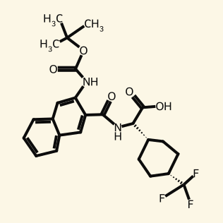 CC(C)(C)OC(=O)Nc1cc2ccccc2cc1C(=O)NC(C(=O)O)[C@H]1CC[C@@H](C(F)(F)F)CC1